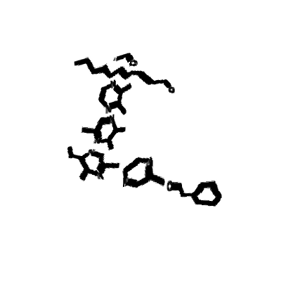 CCCCCC=CC=CC=O.CCc1ncc(C)nc1C.Cc1cnc(C)c(C)n1.Cc1cnccn1.Cc1nccnc1C.O=CCc1ccccc1.[CH2]C=O